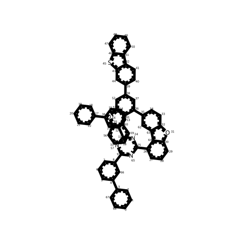 c1ccc(-c2cccc(-c3nc(-c4cccc(-c5ccccc5)c4)nc(-c4cccc5oc6ccc(-c7cc(-c8ccc9c(c8)sc8ccccc89)cc8oc9ccccc9c78)cc6c45)n3)c2)cc1